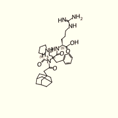 C[C@](Cc1ccccc1)(C(=O)N[C@@H](CCCNC(=N)N)C(=O)O)N(C(=O)CC12CC3CC(CC(C3)C1)C2)C(=O)[C@@H]1CCCN1